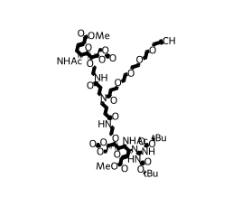 C#CCOCCOCCOCCOCCC(=O)N(CCCC(=O)NCCO[C@@H]([C@@H]1OC(C(=O)OC)=C[C@H](N=C(NC(=O)OC(C)(C)C)NC(=O)OC(C)(C)C)C1NC(C)=O)[C@H]1COC(=O)O1)CCC(=O)NCCO[C@@H]([C@@H]1OC(C(=O)OC)=CC[C@H]1NC(C)=O)[C@H]1COC(=O)O1